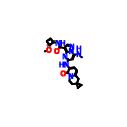 CNc1cc(Nc2ccc3n(c2=O)CCC2(CC2)C3)nc2c(C(=O)N[C@@H]3CC[C@H]3OC)cnn12